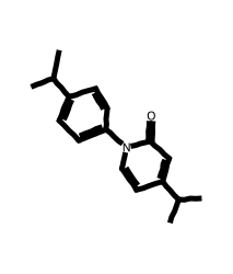 CC(C)c1ccc(-n2ccc(C(C)C)cc2=O)cc1